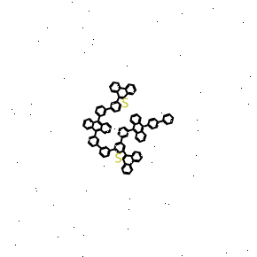 c1ccc(-c2ccc(-c3c4ccccc4c(-c4cccc(-c5cc(-c6cccc(-c7cccc(-c8c9ccccc9c(-c9cccc(-c%10ccc%11sc%12c%13ccccc%13c%13ccccc%13c%12c%11c%10)c9)c9ccccc89)c7)c6)c6sc7c8ccccc8c8ccccc8c7c6c5)c4)c4ccccc34)cc2)cc1